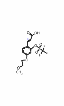 COCCOc1ccc(/C=C/C(=O)O)c(OS(=O)(=O)C(F)(F)F)c1